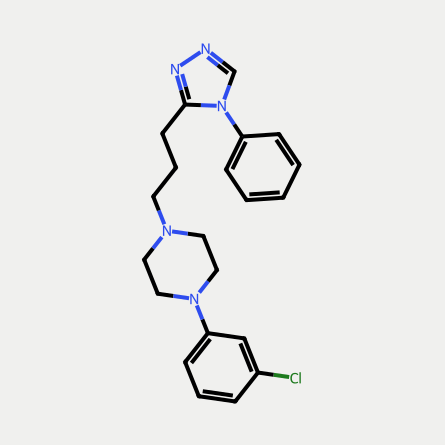 Clc1cccc(N2CCN(CCCc3nncn3-c3ccccc3)CC2)c1